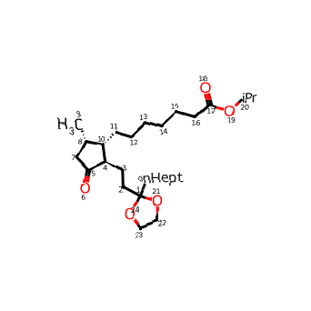 CCCCCCCC1(CC[C@H]2C(=O)C[C@H](C)[C@@H]2CCCCCCC(=O)OC(C)C)OCCO1